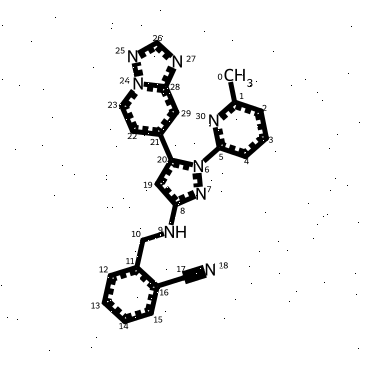 Cc1cccc(-n2nc(NCc3ccccc3C#N)cc2-c2ccn3ncnc3c2)n1